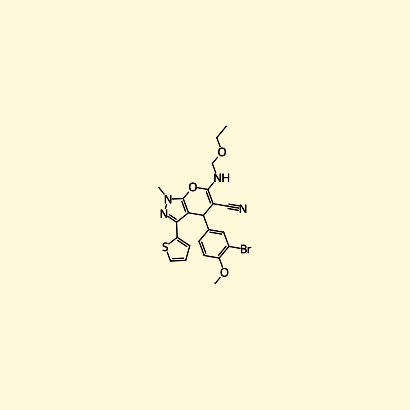 CCOCNC1=C(C#N)C(c2ccc(OC)c(Br)c2)c2c(-c3cccs3)nn(C)c2O1